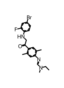 CCN(C)C=Nc1cc(C)c(C(=O)CNc2ccc(Br)cc2F)cc1C